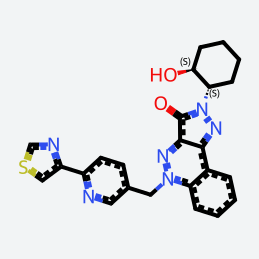 O=c1c2nn(Cc3ccc(-c4cscn4)nc3)c3ccccc3c-2nn1[C@H]1CCCC[C@@H]1O